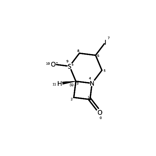 O=C1C[C@H]2N1CC(I)C[S+]2[O-]